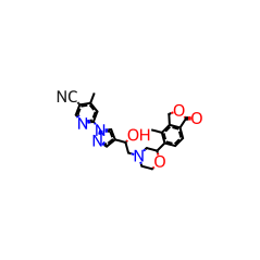 Cc1cc(-n2cc(C(O)CN3CCOC(c4ccc5c(c4C)COC5=O)C3)cn2)ncc1C#N